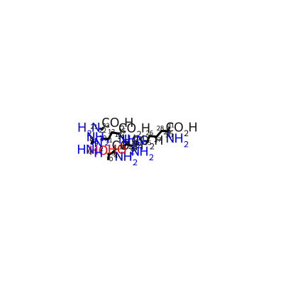 CC(O)C(N)C(=O)O.N=C(N)NCCCC(N)C(=O)O.NC(CO)C(=O)O.NCC(=O)O.NCCCCC(N)C(=O)O